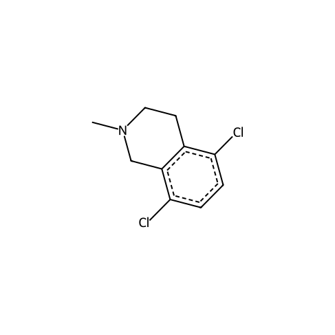 CN1CCc2c(Cl)ccc(Cl)c2C1